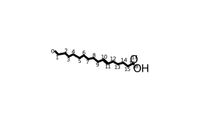 CCCCCCCCCC/C=C/CCCCC(=O)O